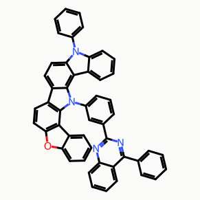 c1ccc(-c2nc(-c3cccc(-n4c5c(ccc6oc7ccccc7c65)c5ccc6c(c7ccccc7n6-c6ccccc6)c54)c3)nc3ccccc23)cc1